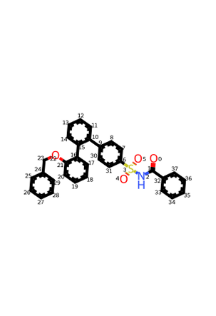 O=C(NS(=O)(=O)c1ccc(-c2ccccc2-c2ccccc2OCc2ccccc2)cc1)c1ccccc1